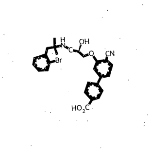 CC(C)(Cc1ccccc1Br)NC[C@@H](O)COc1cc(-c2ccc(C(=O)O)cc2)ccc1C#N